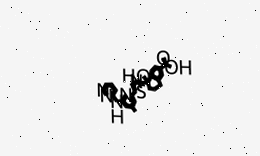 Cc1cc(Nc2cccnn2)nc(-c2cnc(C3(O)CCCc4cc(C(=O)O)ccc43)s2)c1